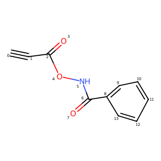 C#CC(=O)ONC(=O)c1ccccc1